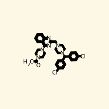 CC(=O)N1CCN(c2nc(CN3CCN(C(c4ccc(Cl)cc4)c4ccc(Cl)cc4)CC3)nc3ccccc23)CC1